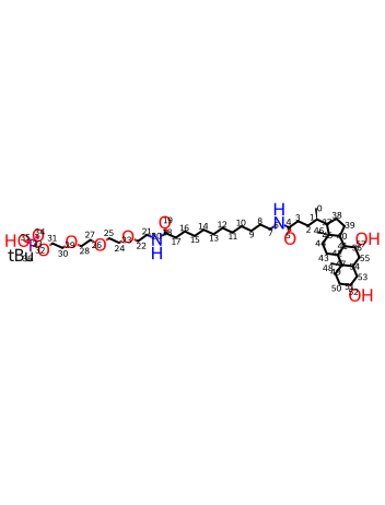 C[C@H](CCC(=O)NCCCCCCCCCCCC(=O)NCCOCCOCCOCCOP(=O)(O)C(C)(C)C)C1CCC2C3C(CC[C@@]21C)[C@@]1(C)CC[C@@H](O)CC1C[C@H]3O